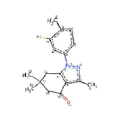 Cc1ccc(-n2nc(C)c3c2CC(C)(C)CC3=O)cc1F